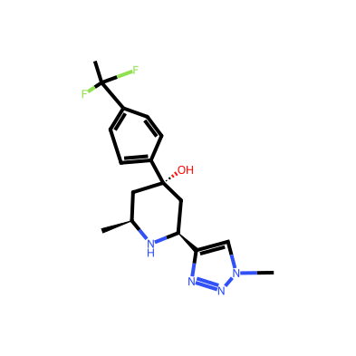 C[C@H]1C[C@@](O)(c2ccc(C(C)(F)F)cc2)C[C@@H](c2cn(C)nn2)N1